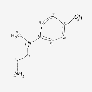 CN(CCN)c1ccc(O)cc1